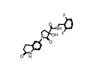 O=C1CCc2cc(N3CCC(O)(C(=O)NCc4c(F)cccc4F)C3=O)ccc2N1